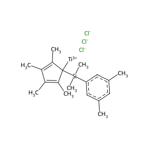 CC1=C(C)[C]([Ti+3])([Si](C)(C)c2cc(C)cc(C)c2)C(C)=C1C.[Cl-].[Cl-].[Cl-]